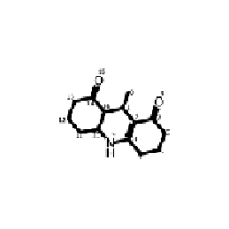 CC1C2=C(CCCC2=O)NC2CCCC(=O)C21